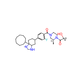 C[C@H]1CN(C(=O)c2ccc(C3CCC4(C5CCCCCCCC5)C(C3)NCN4C)cc2F)CCN1C(=O)C1(O)CC1